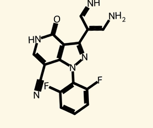 N#Cc1c[nH]c(=O)c2c(/C(C=N)=C/N)nn(-c3c(F)cccc3F)c12